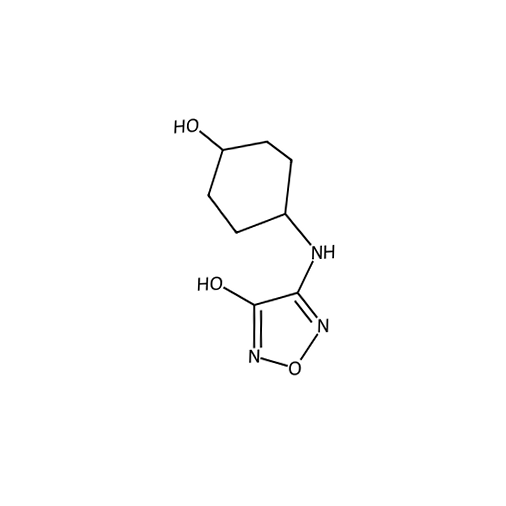 Oc1nonc1NC1CCC(O)CC1